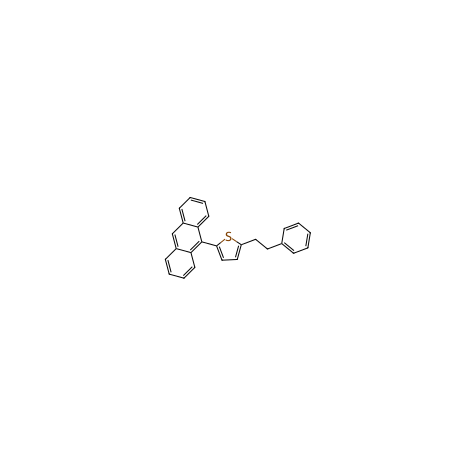 c1ccc(CCc2ccc(-c3c4ccccc4cc4ccccc34)s2)cc1